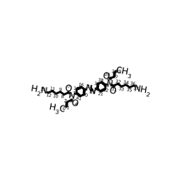 CC=CC(=O)N(C(=O)CCCCCN)c1ccc(/N=N/c2ccc(N(C(=O)C=CC)C(=O)CCCCCN)cc2)cc1